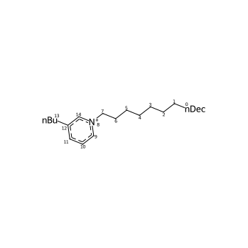 CCCCCCCCCCCCCCCCC[n+]1cccc(CCCC)c1